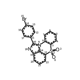 O=S1(=O)c2ccccc2-n2c(-c3ccc(Br)cc3)nc3cccc1c32